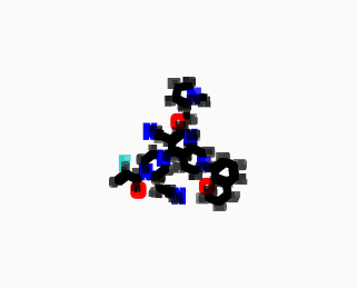 C=C(F)C(=O)N1CCN(c2c(C#N)c(OC[C@@H]3CCCN3C)nc3c2CCN(c2cccc4c2OCCC4)C3)C[C@@H]1CC#N